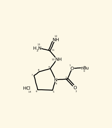 CCCCOC(=O)N1CCCCC1NC(=N)N.Cl